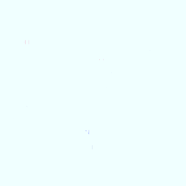 CCn1c2ccc(C(=O)CCC3CCCC3)cc2c2cc(C(=O)c3ccc(O)cc3)ccc21